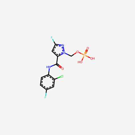 O=C(Nc1ccc(F)cc1Cl)c1cc(F)nn1COP(=O)(O)O